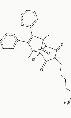 CC12C(=O)C(C)(C(c3ccccc3)=C1c1ccccc1)C1(Br)C(=O)N(CCCCCN)C(=O)C21